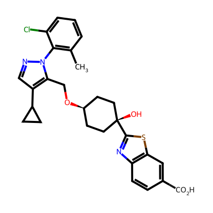 Cc1cccc(Cl)c1-n1ncc(C2CC2)c1CO[C@H]1CC[C@](O)(c2nc3ccc(C(=O)O)cc3s2)CC1